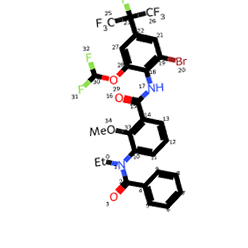 CCN(C(=O)c1ccccc1)c1cccc(C(=O)Nc2c(Br)cc(C(F)(C(F)(F)F)C(F)(F)F)cc2OC(F)F)c1OC